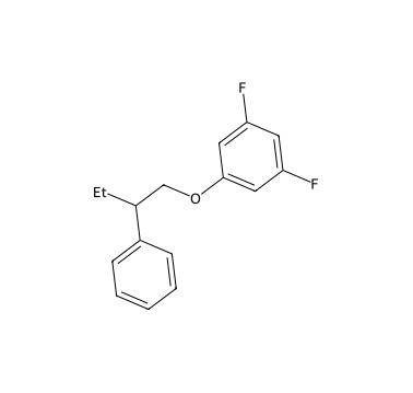 CCC(COc1cc(F)cc(F)c1)c1ccccc1